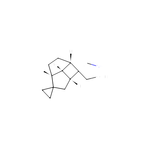 NC[C@]1(CC(=O)O)[C@@H]2CC3(CC3)[C@@H]3CC[C@H]1[C@@H]32